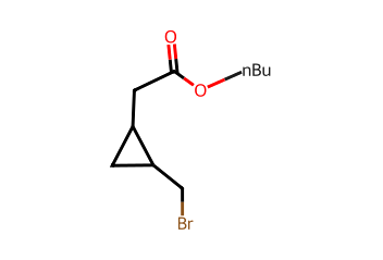 CCCCOC(=O)CC1CC1CBr